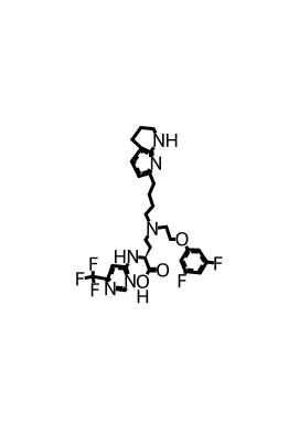 O=C(O)[C@H](CCN(CCCCc1ccc2c(n1)NCCC2)CCOc1cc(F)cc(F)c1)Nc1cc(C(F)(F)F)ncn1